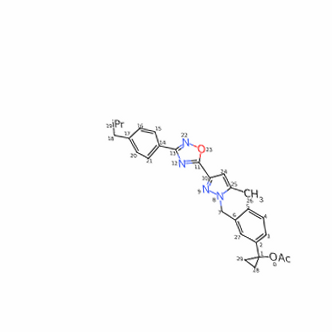 CC(=O)OC1(c2cccc(Cn3nc(-c4nc(-c5ccc(CC(C)C)cc5)no4)cc3C)c2)CC1